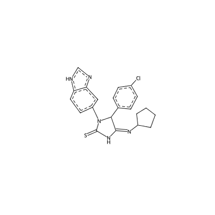 S=C1N/C(=N/C2CCCC2)C(c2ccc(Cl)cc2)N1c1ccc2[nH]cnc2c1